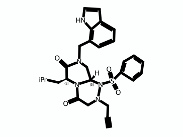 C#CCN1CC(=O)N2[C@@H](CC(C)C)C(=O)N(Cc3cccc4cc[nH]c34)C[C@@H]2N1S(=O)(=O)c1ccccc1